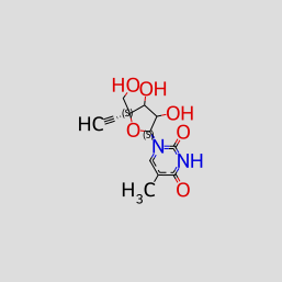 C#C[C@@]1(CO)O[C@H](n2cc(C)c(=O)[nH]c2=O)C(O)C1O